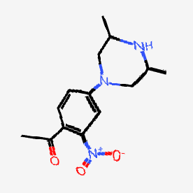 CC(=O)c1ccc(N2CC(C)NC(C)C2)cc1[N+](=O)[O-]